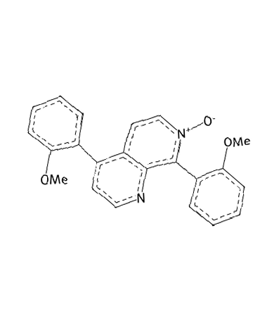 COc1ccccc1-c1ccnc2c(-c3ccccc3OC)[n+]([O-])ccc12